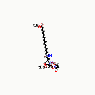 CC(C)(C)OC(=O)CCCCCCCCCCCCCCCCNC(=O)CCNC(CC(=O)ON1C(=O)CCC1=O)C(=O)OC(C)(C)C